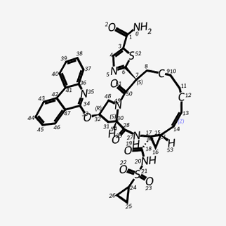 NC(=O)c1cnc([C@H]2CCCCC/C=C\[C@@H]3C[C@@]3(C(=O)NS(=O)(=O)C3CC3)NC(=O)[C@@H]3C[C@@H](Oc4nc5ccccc5c5ccccc45)CN3C2=O)s1